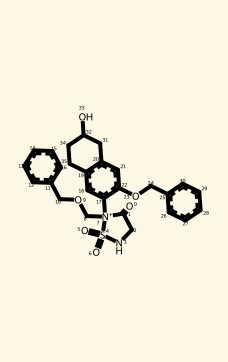 O=C1CNS(=O)(=O)[N+]1(COCc1ccccc1)c1cc2c(cc1OCc1ccccc1)CC(O)CC2